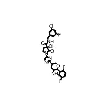 NC1CC(n2ncc(N3CCC(O)(C(=O)NCc4cc(F)cc(Cl)c4)C3=O)n2)COC1c1cc(F)ccc1F